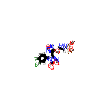 O=c1onc(-c2nonc2OCCN[SH](=O)=O)n1-c1ccc(F)c(Br)c1